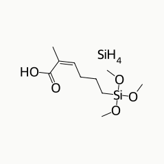 CO[Si](CCCC=C(C)C(=O)O)(OC)OC.[SiH4]